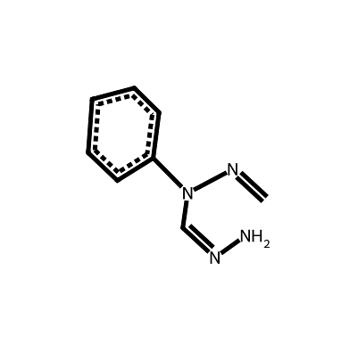 C=NN(/C=N\N)c1ccccc1